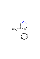 O=C(O)[C@@H]1CNCC[C@H]1c1ccccc1